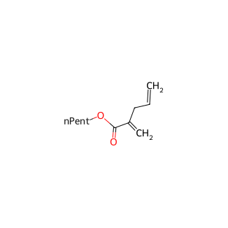 C=CCC(=C)C(=O)OCCCCC